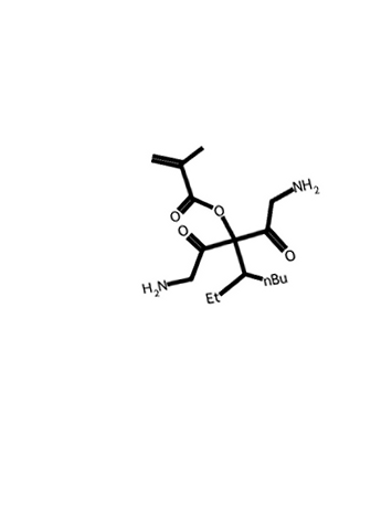 C=C(C)C(=O)OC(C(=O)CN)(C(=O)CN)C(CC)CCCC